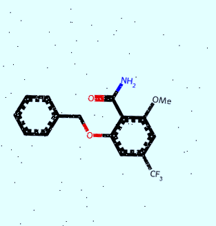 COc1cc(C(F)(F)F)cc(OCc2ccccc2)c1C(N)=O